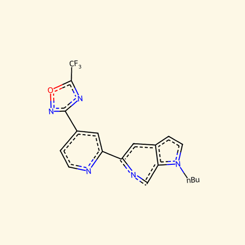 CCCCn1ccc2cc(-c3cc(-c4noc(C(F)(F)F)n4)ccn3)ncc21